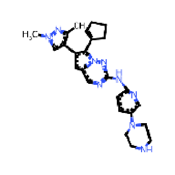 Cc1nn(C)cc1-c1cc2cnc(Nc3ccc(N4CCNCC4)cn3)nn2c1C1=CCCC1